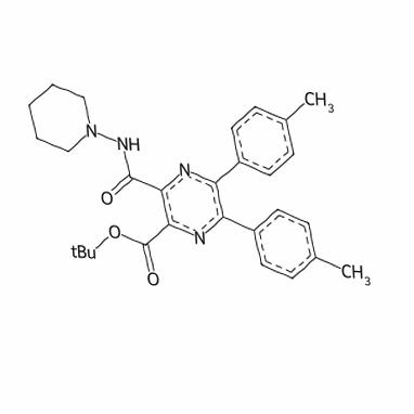 Cc1ccc(-c2nc(C(=O)NN3CCCCC3)c(C(=O)OC(C)(C)C)nc2-c2ccc(C)cc2)cc1